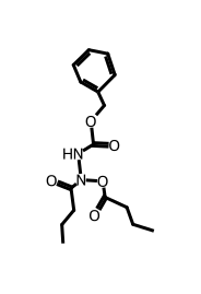 CCCC(=O)ON(NC(=O)OCc1ccccc1)C(=O)CCC